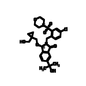 CC(C)(O)c1ccc2c(c1)C(=O)N(Cc1ccc(Cl)cc1S(=O)(=O)N1CCOCC1)[C@@H]2OCC1(CO)CC1